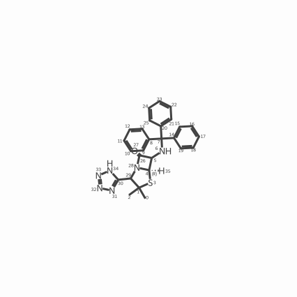 CC1(C)S[C@@H]2C(NC(c3ccccc3)(c3ccccc3)c3ccccc3)C(=O)N2C1c1nnn[nH]1